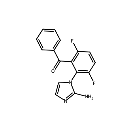 Nc1nccn1-c1c(F)ccc(F)c1C(=O)c1ccccc1